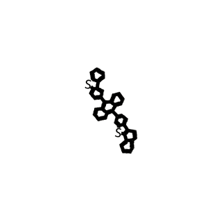 c1ccc2c(c1)ccc1c3ccc(-c4c5ccccc5c(-c5ccc6sc7ccccc7c6c5)c5ccccc45)cc3sc21